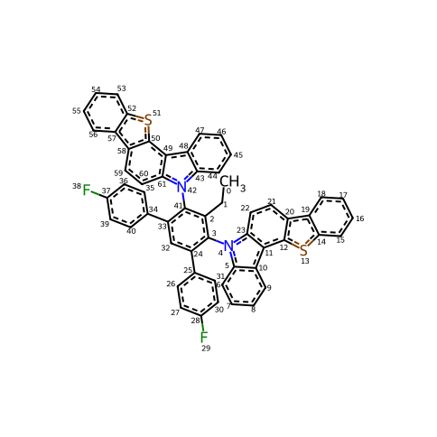 CCc1c(-n2c3ccccc3c3c4sc5ccccc5c4ccc32)c(-c2ccc(F)cc2)cc(-c2ccc(F)cc2)c1-n1c2ccccc2c2c3sc4ccccc4c3ccc21